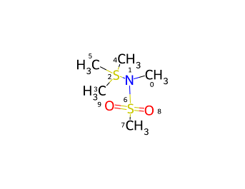 CN(S(C)(C)C)S(C)(=O)=O